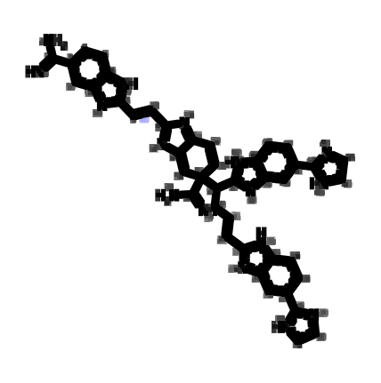 N=C(N)c1ccc2[nH]c(/C=C/C3=NC4=CC(C(=N)N)(C(CC=Cc5nc6cc(-c7ncc[nH]7)ccc6[nH]5)c5nc6cc(-c7ncc[nH]7)ccc6[nH]5)C=CC4=N3)nc2c1